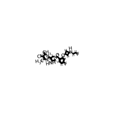 CC1=N/C(=C2\CN(C(=O)c3ccc(F)cc3OC3CC(NCCF)C3)CC2=N)NC(C)=C1Cl